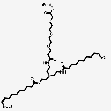 CCCCCCCC/C=C\CCCCCCCC(=O)NCCN(CCNC(=O)CCCCCCC/C=C\CCCCCCCC)CCNC(=O)CCOCCOCCOCC(=O)NCCCCC